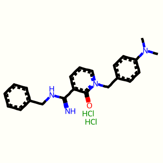 CN(C)c1ccc(Cn2cccc(C(=N)NCc3ccccc3)c2=O)cc1.Cl.Cl